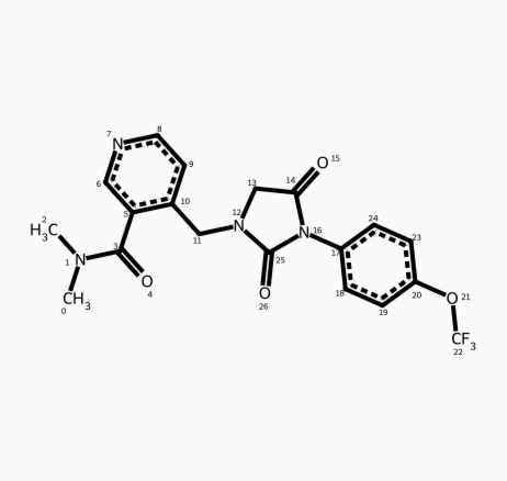 CN(C)C(=O)c1cnccc1CN1CC(=O)N(c2ccc(OC(F)(F)F)cc2)C1=O